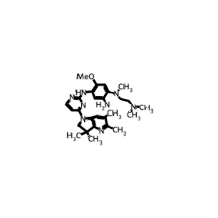 COc1cc(N(C)CCN(C)C)c(N)cc1Nc1nccc(N2CC(C)(C)c3nc(C)c(C)cc32)n1